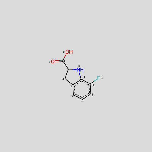 O=C(O)C1Cc2cccc(F)c2N1